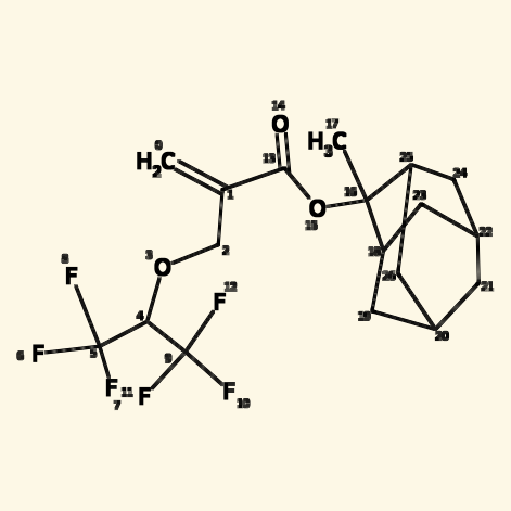 C=C(COC(C(F)(F)F)C(F)(F)F)C(=O)OC1(C)C2CC3CC(C2)CC1C3